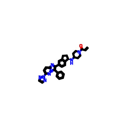 C=CC(=O)N1CCC(N[C@H]2CCc3cc(-c4nc5ccc(-n6nccn6)nn5c4-c4ccccc4)ccc32)CC1